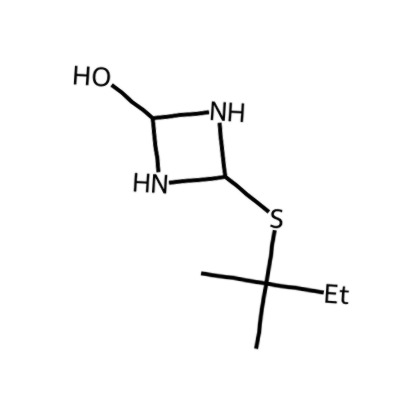 CCC(C)(C)SC1NC(O)N1